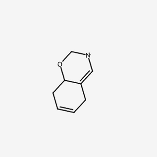 C1=CCC2OC[N]C=C2C1